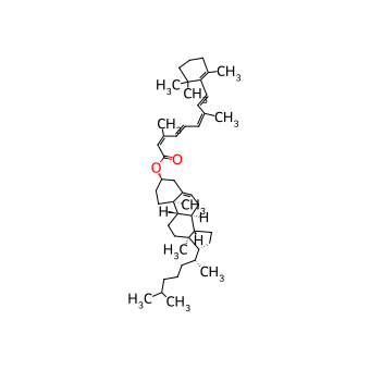 CC(C=CC=C(C)/C=C/C1=C(C)CCCC1(C)C)=CC(=O)O[C@@H]1CC[C@@]2(C)C(=CC[C@H]3[C@@H]4CC[C@H]([C@H](C)CCCC(C)C)[C@@]4(C)CC[C@@H]32)C1